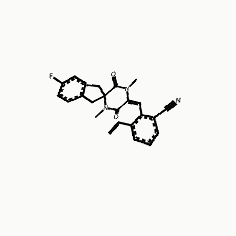 C=Cc1cccc(C#N)c1/C=C1\C(=O)N(C)C(CC)(Cc2ccc(F)cc2)C(=O)N1C